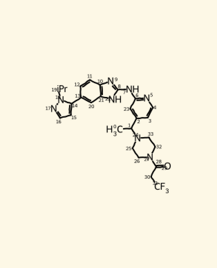 CC(c1ccnc(Nc2nc3ccc(-c4ccnn4C(C)C)cc3[nH]2)c1)N1CCN(C(=O)CC(F)(F)F)CC1